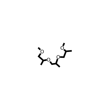 COCC(C)OCC(C)OCC(C)OC